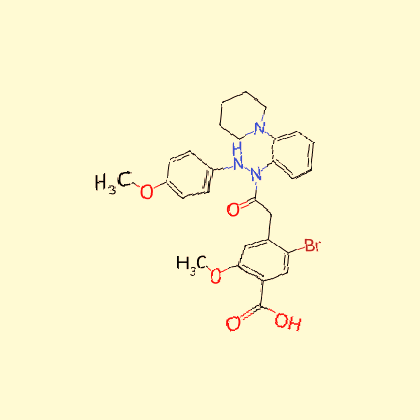 COc1ccc(NN(C(=O)Cc2cc(OC)c(C(=O)O)cc2Br)c2ccccc2N2CCCCC2)cc1